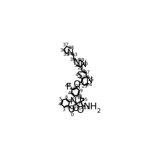 COc1ccccc1N(C(=O)C1(C(N)=O)CC1)c1ccc(Oc2ccnc3cc(-c4cn(CCN5CCCC5)cn4)sc23)c(F)c1